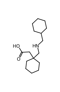 O=C(O)CC1(CNCC2CCCCC2)CCCCC1